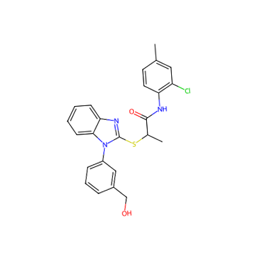 Cc1ccc(NC(=O)C(C)Sc2nc3ccccc3n2-c2cccc(CO)c2)c(Cl)c1